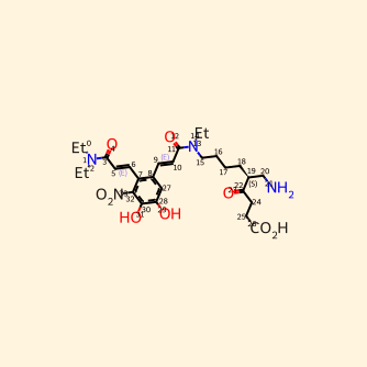 CCN(CC)C(=O)/C=C/c1c(/C=C/C(=O)N(CC)CCCC[C@@H](CN)C(=O)CCC(=O)O)cc(O)c(O)c1[N+](=O)[O-]